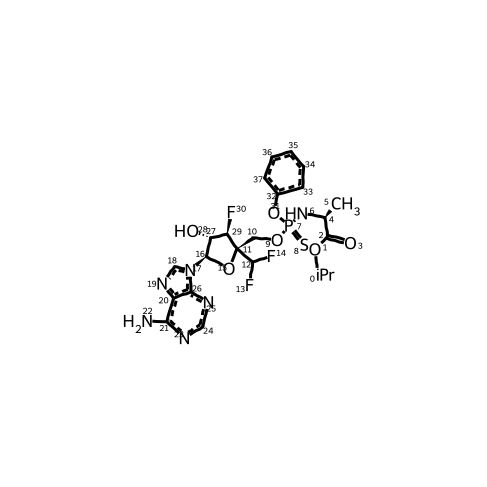 CC(C)OC(=O)[C@H](C)NP(=S)(OC[C@@]1(C(F)F)O[C@@H](n2cnc3c(N)ncnc32)[C@H](O)[C@H]1F)Oc1ccccc1